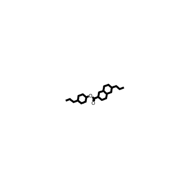 CCCC1CCC(OC(=O)C2CCC3CC(CCC)CCC3C2)CC1